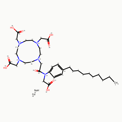 CCCCCCCCCCc1ccc(N(CC(=O)O)C(=O)CN2CCN(CC(=O)O)CCN(CC(=O)O)CCN(CC(=O)O)CC2)cc1.[Gd].[NaH]